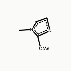 COc1nc[c]n1C